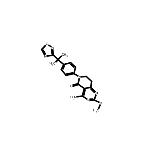 COc1nc(N)c2c(n1)CCN(c1ccc(C(C)(C)c3ncon3)cc1)C2=O